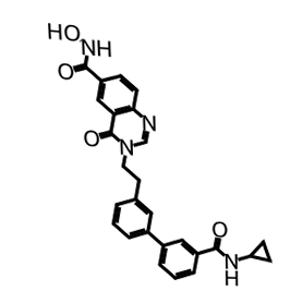 O=C(NO)c1ccc2ncn(CCc3cccc(-c4cccc(C(=O)NC5CC5)c4)c3)c(=O)c2c1